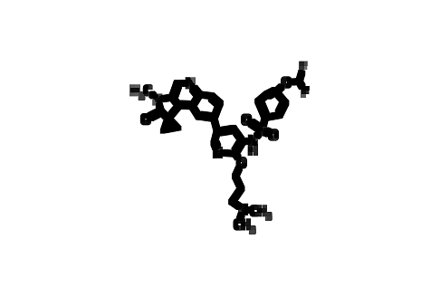 CN(C)CCCOc1ncc(-c2ccc3ncc4c(c3c2)C2(CC2)C(=O)N4C)cc1NS(=O)(=O)c1ccc(OC(F)F)cc1